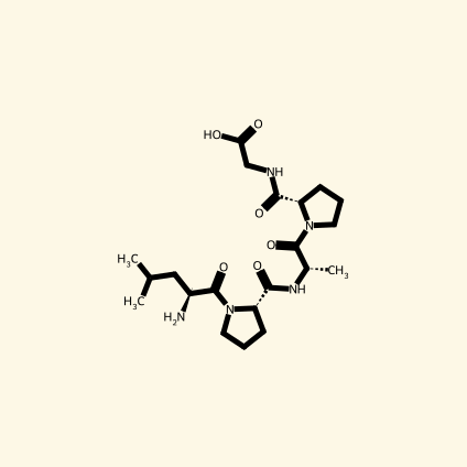 CC(C)C[C@H](N)C(=O)N1CCC[C@H]1C(=O)N[C@@H](C)C(=O)N1CCC[C@H]1C(=O)NCC(=O)O